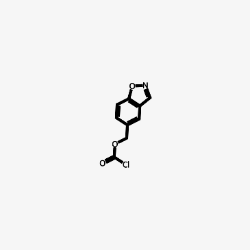 O=C(Cl)OCc1ccc2oncc2c1